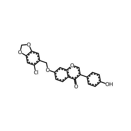 O=c1c(-c2ccc(O)cc2)coc2cc(OCc3cc4c(cc3Cl)OCO4)ccc12